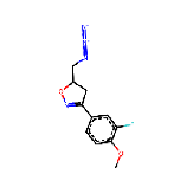 COc1ccc(C2=NOC(CN=[N+]=[N-])C2)cc1F